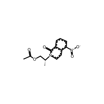 CC(=O)OC[C@@H](C)n1ccc2c([N+](=O)[O-])cccc2c1=O